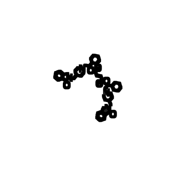 O=C(/C=C/C(=O)OC(CN1CCC(CN2Cc3ccccc3C2=O)CC1)C1CCCCC1)OC(CN1CCC(CN2Cc3ccccc3C2=O)CC1)C1CCCCC1